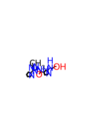 Cc1nc(NC(=O)c2ccnc(NCCO)c2)nc(-c2ccccn2)n1